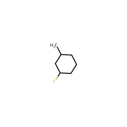 C[C]1CCCC(F)C1